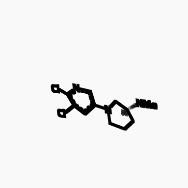 CN[C@@H]1CCCN(c2cnc(Cl)c(Cl)c2)C1